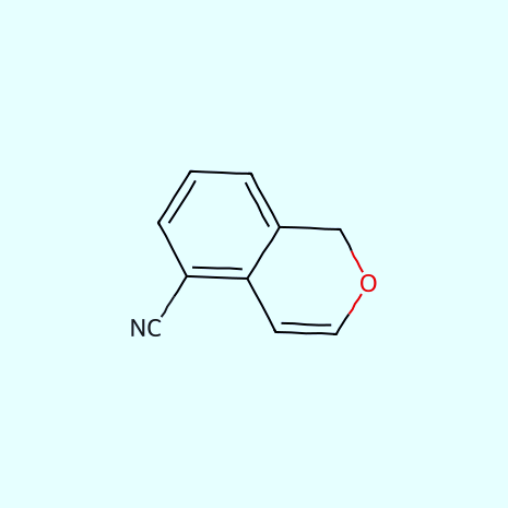 N#Cc1cccc2c1C=COC2